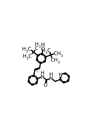 CC(C)(C)c1cc(/C=C/c2ccccc2NC(=O)NCc2ccccn2)cc(C(C)(C)C)c1O